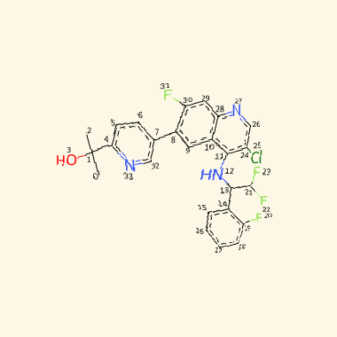 CC(C)(O)c1ccc(-c2cc3c(NC(c4ccccc4F)C(F)F)c(Cl)cnc3cc2F)cn1